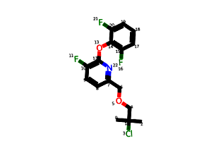 CC(C)(Cl)COCc1ccc(F)c(Oc2c(F)cccc2F)n1